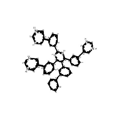 c1ccc(-c2cccc(-c3c(-c4cccc(-c5cncnc5)c4)nc(-c4cccc(-c5cncnc5)c4)nc3-c3cccc(-c4cncnc4)c3)c2)cc1